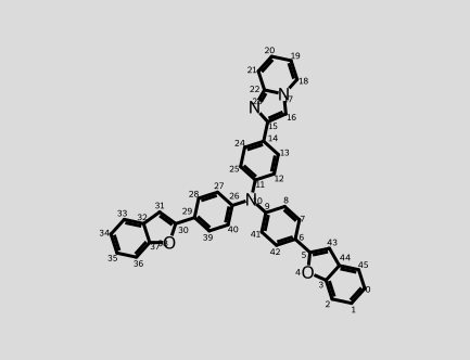 c1ccc2oc(-c3ccc(N(c4ccc(-c5cn6ccccc6n5)cc4)c4ccc(-c5cc6ccccc6o5)cc4)cc3)cc2c1